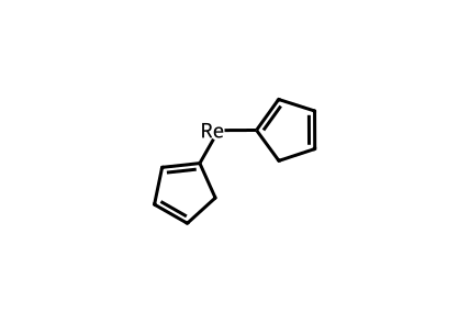 C1=CC[C]([Re][C]2=CC=CC2)=C1